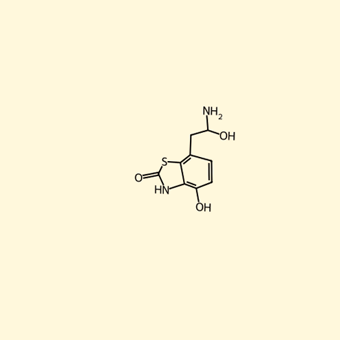 NC(O)Cc1ccc(O)c2[nH]c(=O)sc12